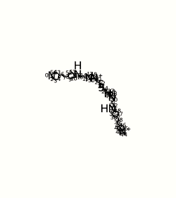 CN1C=CC=C(/C=C/c2ccc(NCCCn3cc[n+](CCSSCC[n+]4ccn(CCCNc5ccc(/C=C/c6cc[n+](C)cc6)cc5)c4)c3)cc2)C=C1